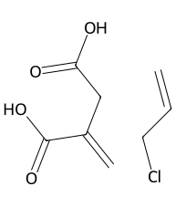 C=C(CC(=O)O)C(=O)O.C=CCCl